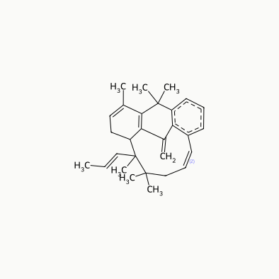 C=C1C2=C3C(C)=CCC2C(C)(C=CC)C(C)(C)C/C=C\c2cccc(c21)C3(C)C